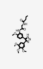 CCCC(=O)NCC(=O)Nc1cc(-c2[nH]nnc2-c2cc(OC)c(OC)c(OC)c2)ccc1OC